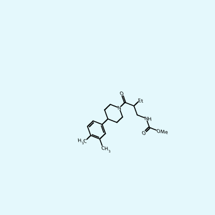 CCC(CNC(=O)OC)C(=O)N1CCC(c2ccc(C)c(C)c2)CC1